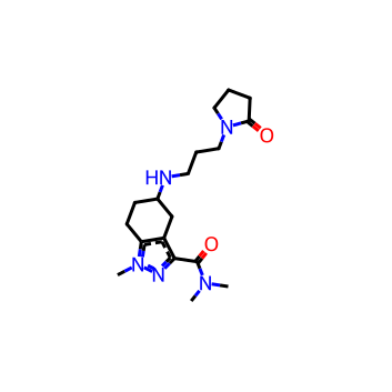 CN(C)C(=O)c1nn(C)c2c1CC(NCCCN1CCCC1=O)CC2